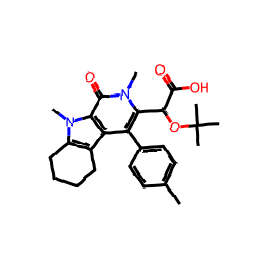 Cc1ccc(-c2c(C(OC(C)(C)C)C(=O)O)n(C)c(=O)c3c2c2c(n3C)CCCC2)cc1